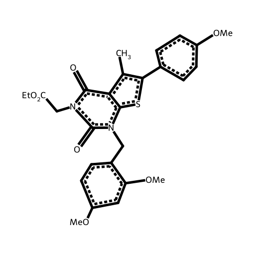 CCOC(=O)Cn1c(=O)c2c(C)c(-c3ccc(OC)cc3)sc2n(Cc2ccc(OC)cc2OC)c1=O